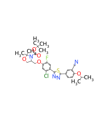 CC(C)Oc1ccc(-c2nnc(-c3cc(F)c(OCC4COC(C)(C)N4C(=O)OC(C)(C)C)cc3Cl)s2)cc1C#N